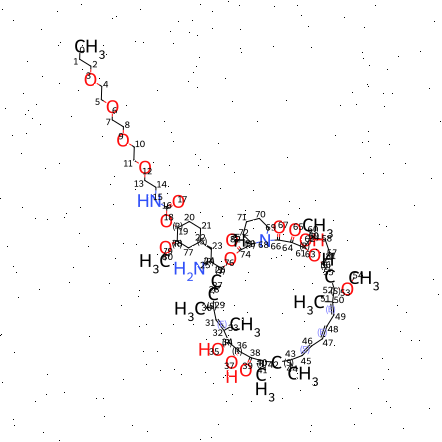 CCCOCCOCCOCCOCCNC(=O)O[C@@H]1CC[C@@H](C[C@@H](N)[C@@H]2CC[C@H](C)/C=C(\C)[C@@H](O)[C@@H](O)C(=O)[C@H](C)C[C@H](C)/C=C/C=C/C=C(\C)[C@@H](OC)C[C@@H]3CC[C@@H](C)[C@@](O)(O3)C(=O)C(=O)N3CCCC[C@H]3C(=O)O2)C[C@H]1OC